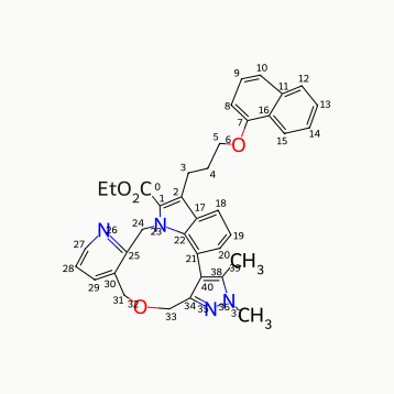 CCOC(=O)c1c(CCCOc2cccc3ccccc23)c2cccc3c2n1Cc1ncccc1COCc1nn(C)c(C)c1-3